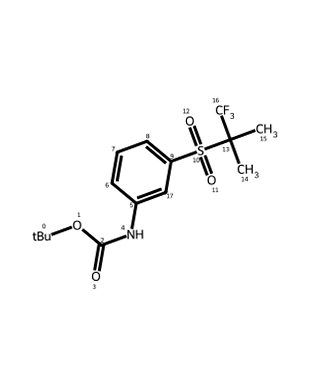 CC(C)(C)OC(=O)Nc1cccc(S(=O)(=O)C(C)(C)C(F)(F)F)c1